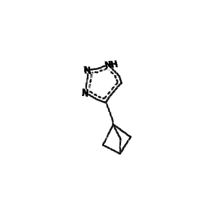 c1[nH]nnc1C12CC(C1)C2